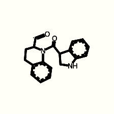 O=[C]C1CCc2ccccc2N1C(=O)C1CNc2ccccc21